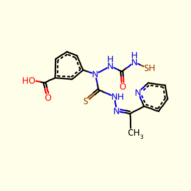 CC(=NNC(=S)N(NC(=O)NS)c1cccc(C(=O)O)c1)c1ccccn1